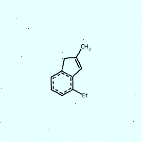 CCc1cccc2c1C=C(C)[CH]2